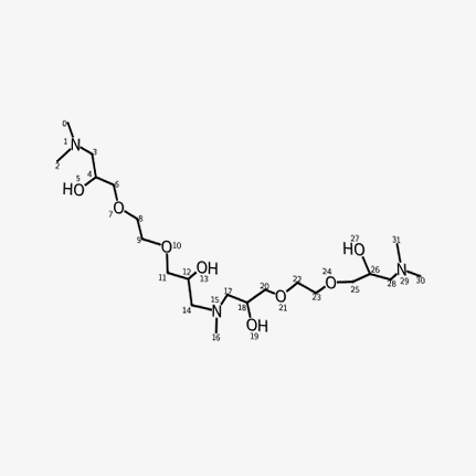 CN(C)CC(O)COCCOCC(O)CN(C)CC(O)COCCOCC(O)CN(C)C